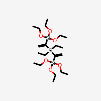 C=C([Si](OCC)(OCC)OCC)[Si](CC)(CC)C(=C)[Si](OCC)(OCC)OCC